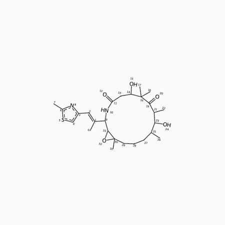 C/C(=C\c1csc(C)n1)C1NC(=O)CC(O)C(C)(C)C(=O)C(C)C(O)C(C)CCCC2(C)OC12